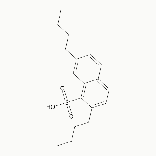 CCCCc1ccc2ccc(CCCC)c(S(=O)(=O)O)c2c1